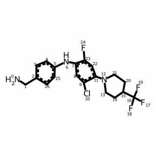 NCc1ccc(Nc2cc(Cl)c(N3CCC(C(F)(F)F)CC3)cc2F)cc1